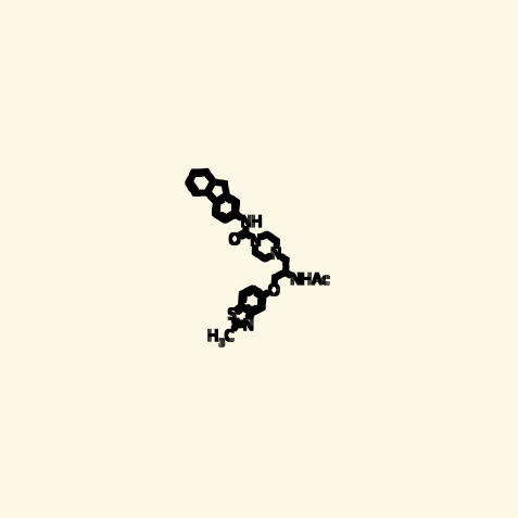 CC(=O)NC(COc1ccc2sc(C)nc2c1)CN1CCN(C(=O)Nc2ccc3c(c2)CC2C=CC=CC32)CC1